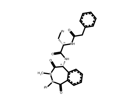 CC(C)C[C@H](NC(=O)Cc1ccccc1)C(=O)N[C@H]1C(=O)N(C)N(C(C)C)C(=O)c2ccccc21